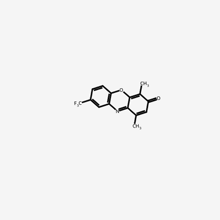 Cc1cc(=O)c(C)c2oc3ccc(C(F)(F)F)cc3nc1-2